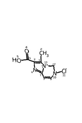 CC1=C(C(=O)O)N=C2C=CN(Cl)C[N+]21